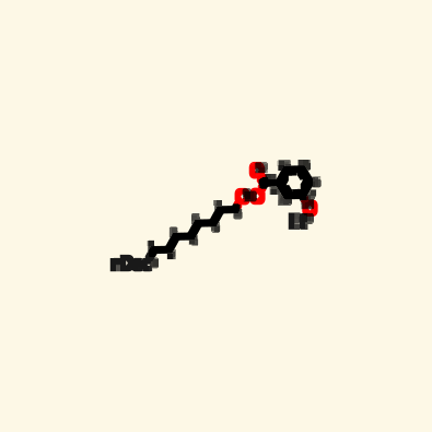 [CH2]CCCCCCCCCCCCCCCCCOOC(=O)c1cccc(OCC)c1